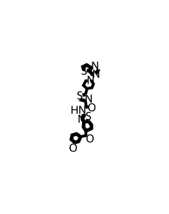 COc1cccc(C(=O)c2ccc3sc(NC(=O)c4csc(C5CCN(c6ncnc7ccsc67)CC5)n4)nc3c2)c1